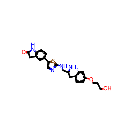 NC(CNc1ncc(-c2ccc3c(c2)CC(=O)N3)s1)Cc1ccc(OCCCO)cc1